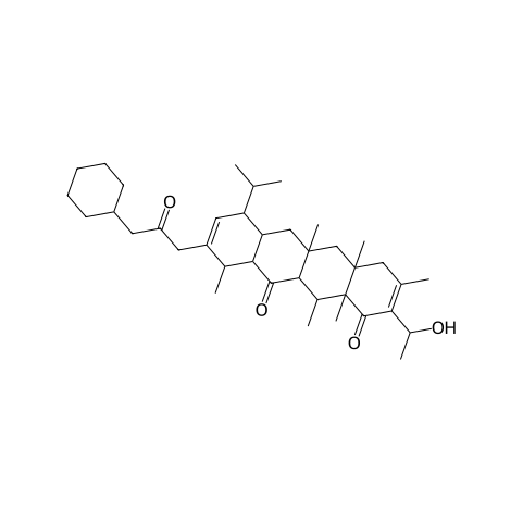 CC1=C(C(C)O)C(=O)C2(C)C(C)C3C(=O)C4C(C)C(CC(=O)CC5CCCCC5)=CC(C(C)C)C4CC3(C)CC2(C)C1